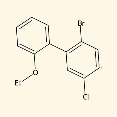 CCOc1ccccc1-c1cc(Cl)[c]cc1Br